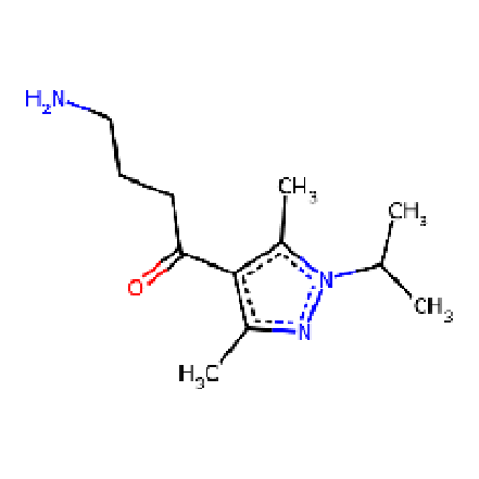 Cc1nn(C(C)C)c(C)c1C(=O)CCCN